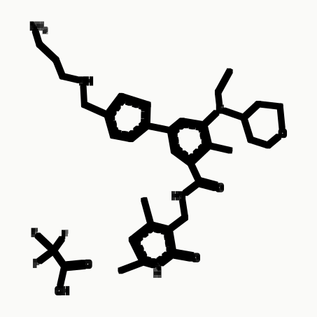 CCN(c1cc(-c2ccc(CNCCCN)cc2)cc(C(=O)NCc2c(C)cc(C)[nH]c2=O)c1C)C1CCOCC1.O=C(O)C(F)(F)F